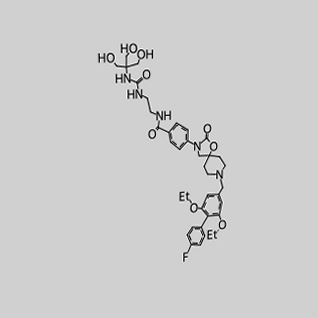 CCOc1cc(CN2CCC3(CC2)CN(c2ccc(C(=O)NCCNC(=O)NC(CO)(CO)CO)cc2)C(=O)O3)cc(OCC)c1-c1ccc(F)cc1